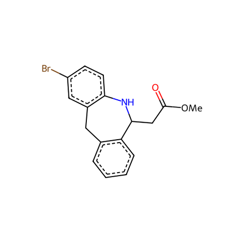 COC(=O)CC1Nc2ccc(Br)cc2Cc2ccccc21